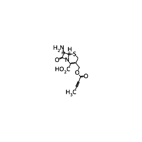 CC#CC(=O)OCC1=C(C(=O)O)N2C(=O)[C@@H](N)[C@H]2SC1